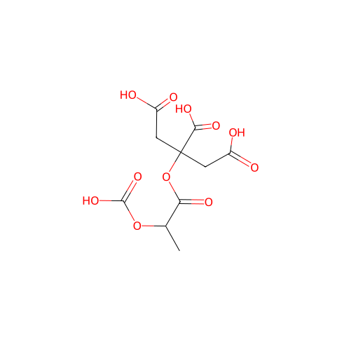 CC(OC(=O)O)C(=O)OC(CC(=O)O)(CC(=O)O)C(=O)O